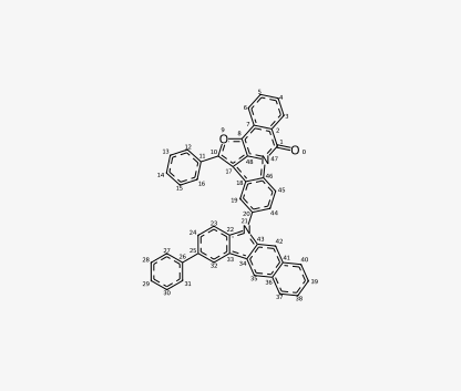 O=c1c2ccccc2c2oc(-c3ccccc3)c3c4cc(-n5c6ccc(-c7ccccc7)cc6c6cc7ccccc7cc65)ccc4n1c23